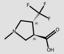 CN1C[C@H](C(=O)O)[C@@H](C(F)(F)F)C1